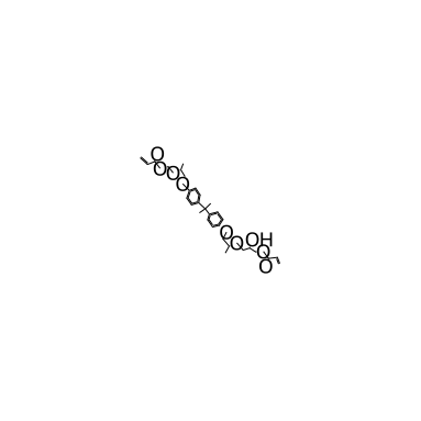 C=CC(=O)OCOC(C)COc1ccc(C(C)(C)c2ccc(OCC(C)OCC(O)COC(=O)C=C)cc2)cc1